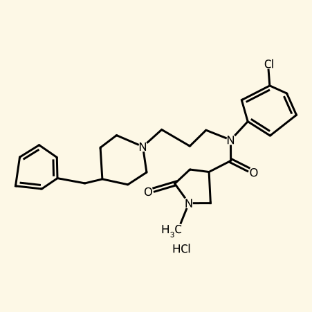 CN1CC(C(=O)N(CCCN2CCC(Cc3ccccc3)CC2)c2cccc(Cl)c2)CC1=O.Cl